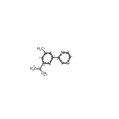 Cc1cc(-c2cnccn2)cc(C(C)C)c1